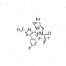 Cc1nc(C(=O)N2C3C[C@H]3C[C@H]2CNC(=O)C(F)(F)F)c(-c2cccc(F)c2)s1